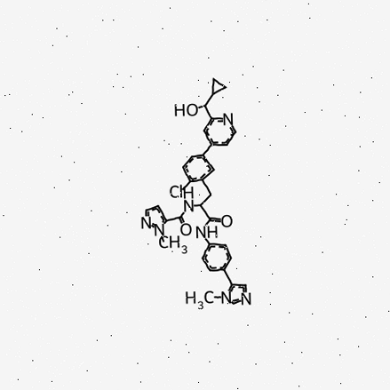 Cn1cncc1-c1ccc(NC(=O)C(Cc2cc(-c3ccnc(C(O)C4CC4)c3)ccc2Cl)NC(=O)c2ccnn2C)cc1